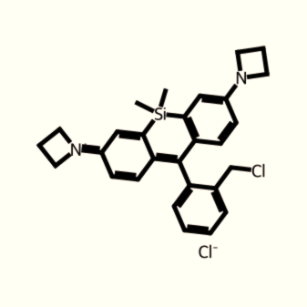 C[Si]1(C)C2=CC(=[N+]3CCC3)C=CC2=C(c2ccccc2CCl)c2ccc(N3CCC3)cc21.[Cl-]